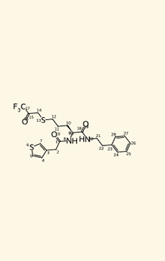 O=C(Cc1ccsc1)N[C@@H](CCCSCC(=O)C(F)(F)F)C(=O)NCCc1ccccc1